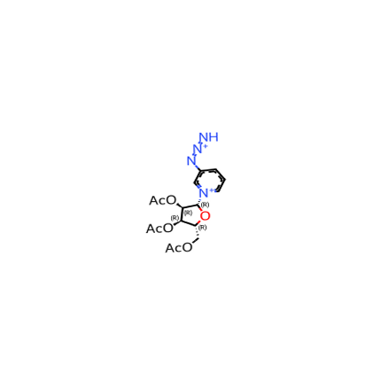 CC(=O)OC[C@H]1O[C@@H]([n+]2cccc(N=[N+]=N)c2)[C@H](OC(C)=O)[C@@H]1OC(C)=O